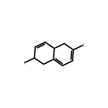 IC1=CC=C2CC(I)C=CC2C1